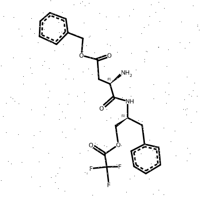 N[C@H](CC(=O)OCc1ccccc1)C(=O)N[C@H](COC(=O)C(F)(F)F)Cc1ccccc1